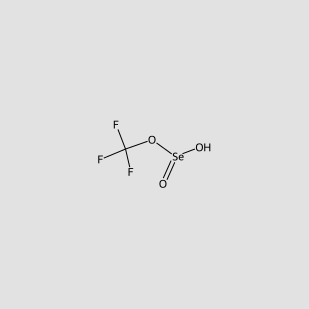 O=[Se](O)OC(F)(F)F